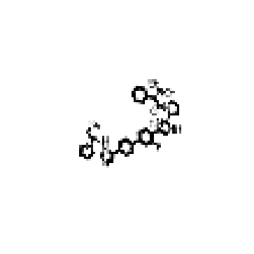 CCN(CC)[C@@H](C(=O)N1CCC[C@H]1C1NC=C(c2ccc(-c3ccc(-c4cnc([C@@H]5CCCN5C(=O)CC(C)C)[nH]4)cc3)cc2F)N1)c1ccccc1